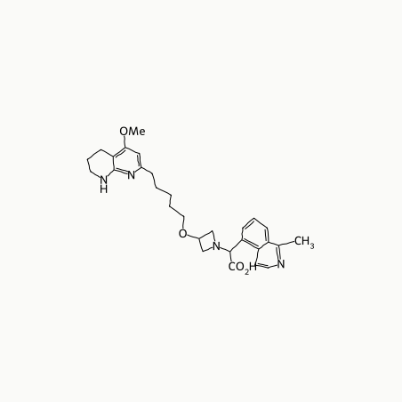 COc1cc(CCCCCOC2CN(C(C(=O)O)c3cccc4c(C)nccc34)C2)nc2c1CCCN2